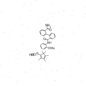 CC1=C(C)C(C)(C)[C]([Ti])=C1C.COc1ccccc1NC(=O)c1ccccc1-c1ccccc1C(N)=O.Cl.Cl